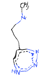 C[N]Cc1c[nH]nn1